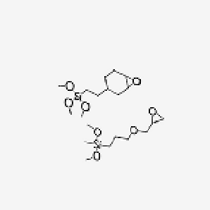 CO[Si](C)(CCCOCC1CO1)OC.CO[Si](CCC1CCC2OC2C1)(OC)OC